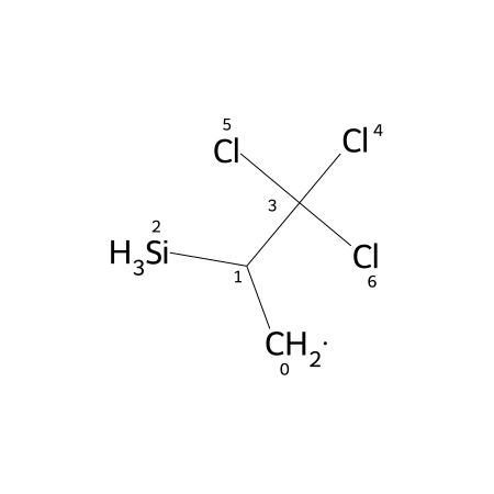 [CH2]C([SiH3])C(Cl)(Cl)Cl